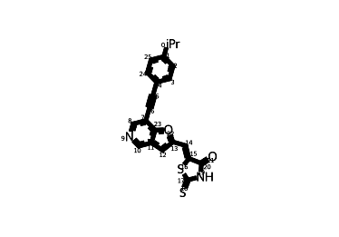 CC(C)c1ccc(C#Cc2cncc3cc(/C=C4\SC(=S)NC4=O)oc23)cc1